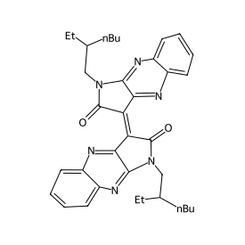 CCCCC(CC)CN1C(=O)/C(=C2/C(=O)N(CC(CC)CCCC)c3nc4ccccc4nc32)c2nc3ccccc3nc21